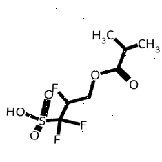 CC(C)C(=O)OCC(F)C(F)(F)S(=O)(=O)O